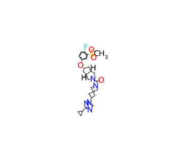 CS(=O)(=O)c1cc(OC2C[C@@H]3CN(C(=O)N4CC5(CC(n6cnc(C7CC7)n6)C5)C4)C[C@@H]3C2)ccc1F